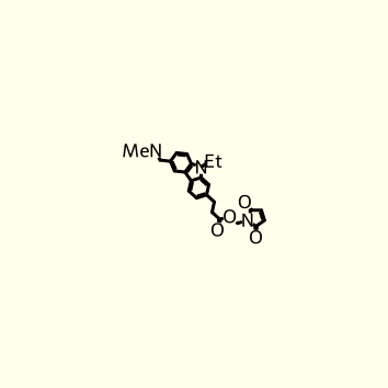 CCn1c2ccc(CNC)cc2c2ccc(CCC(=O)OCN3C(=O)C=CC3=O)cc21